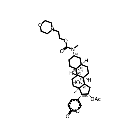 CC(=O)O[C@H]1C[C@]2(O)[C@@H]3CC[C@@H]4C[C@@H](N(C)C(=O)OCCN5CCOCC5)CC[C@]4(C)[C@H]3CC[C@]2(C)[C@H]1c1ccc(=O)oc1